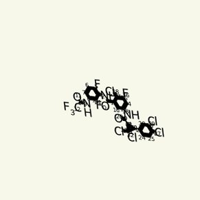 O=C(Nc1c(F)ccc(NC(=O)C(F)(F)F)c1F)c1cc(NC(=O)[C@H]2[C@H](c3ccc(Cl)c(Cl)c3)C2(Cl)Cl)cc(F)c1Cl